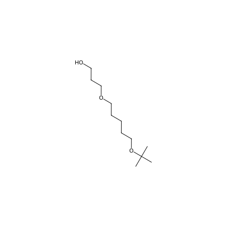 CC(C)(C)OCCCCCOCCCO